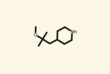 COC(C)(C)CC1CCNCC1